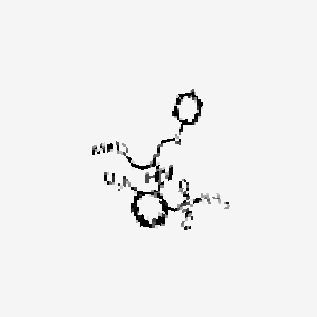 COCC(CSc1ccccc1)Nc1c([N+](=O)[O-])cccc1S(N)(=O)=O